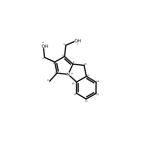 Cc1c(CO)c(CO)c2n1-c1ccccc1C2